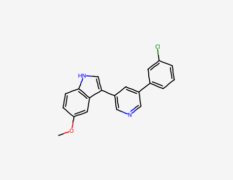 COc1ccc2[nH]cc(-c3cncc(-c4cccc(Cl)c4)c3)c2c1